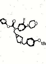 CC(C)(C)Oc1ccc(CN2CC3C(C2)C3CN(C(=O)Oc2cccs2)c2ccc(N3CCOCC3)c(F)c2)cc1